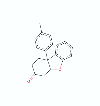 Cc1ccc(C23CCC(=O)CC2Oc2ccccc23)cc1